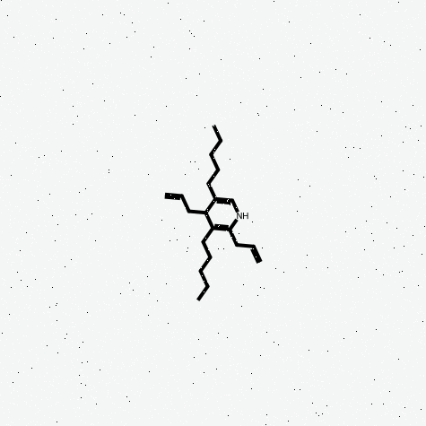 C=CCC1=C(CCCCC)C(CC=C)C(CCCCC)=CN1